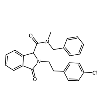 CN(Cc1ccccc1)C(=O)C1c2ccccc2C(=O)N1CCc1ccc(Cl)cc1